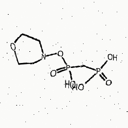 O=P(O)(O)CP(=O)(O)ON1CCOCC1